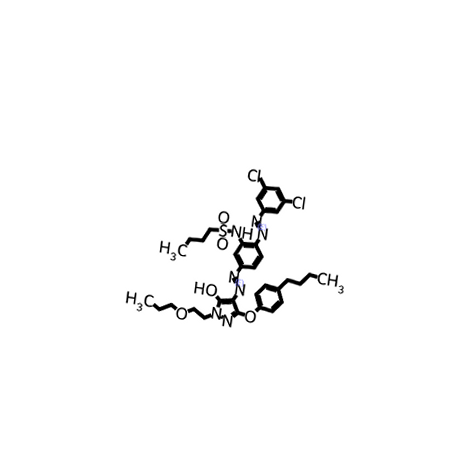 CCCCc1ccc(Oc2nn(CCOCCC)c(O)c2/N=N/c2ccc(/N=N/c3cc(Cl)cc(Cl)c3)c(NS(=O)(=O)CCCC)c2)cc1